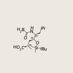 BC(=O)N[C@@H](CC(C)C)[C@H](C[C@@H](C)C(=O)O)O[Si](C)(C)C(C)(C)C